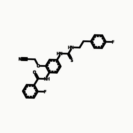 N#CCOc1cc(NC(=S)NCCc2ccc(F)cc2)ccc1NC(=O)c1ccccc1F